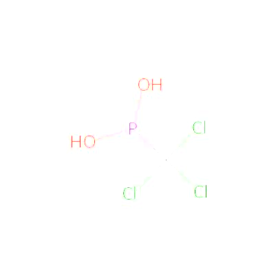 OP(O)C(Cl)(Cl)Cl